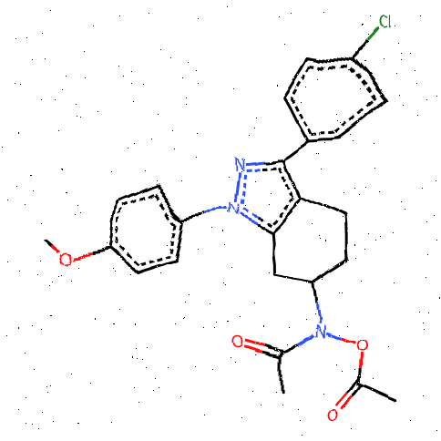 COc1ccc(-n2nc(-c3ccc(Cl)cc3)c3c2CC(N(OC(C)=O)C(C)=O)CC3)cc1